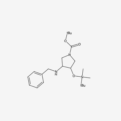 CC(C)(C)OC(=O)N1CC(NCc2ccccc2)C(O[Si](C)(C)C(C)(C)C)C1